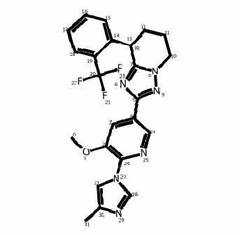 COc1cc(-c2nc3n(n2)CCC[C@@H]3c2ccccc2C(F)(F)F)cnc1-n1cnc(C)c1